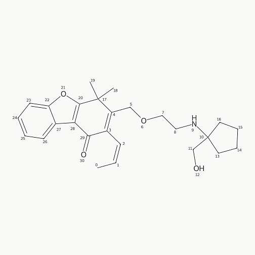 C/C=C\C1=C(COCCNC2(CO)CCCC2)C(C)(C)c2oc3ccccc3c2C1=O